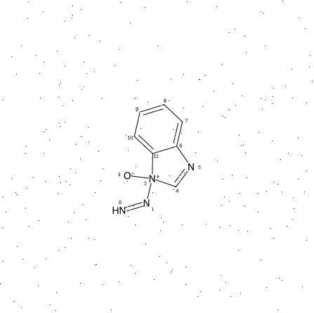 N=N[N+]1([O-])C=Nc2ccccc21